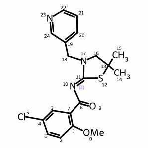 COc1ccc(Cl)cc1C(=O)/N=C1\SC(C)(C)CN1Cc1cccnc1